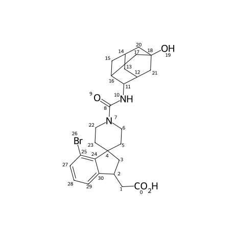 O=C(O)CC1CC2(CCN(C(=O)NC3C4CC5CC3CC(O)(C5)C4)CC2)c2c(Br)cccc21